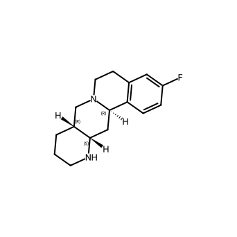 Fc1ccc2c(c1)CCN1C[C@H]3CCCN[C@H]3C[C@H]21